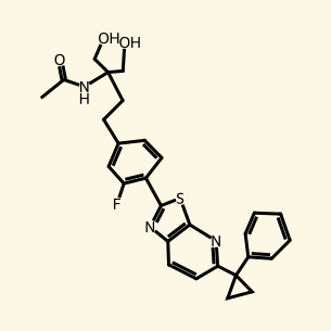 CC(=O)NC(CO)(CO)CCc1ccc(-c2nc3ccc(C4(c5ccccc5)CC4)nc3s2)c(F)c1